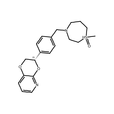 C[SH]1(=O)CCCN(Cc2ccc([C@H]3COc4cccnc4O3)cc2)CC1